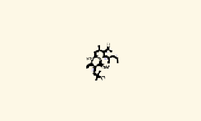 C=C1NC2=CC(C)C(=C(/C)CC)/C(=C(C)\C=C/C)N2C(=N)/C1=C\C(C)(C)Cl